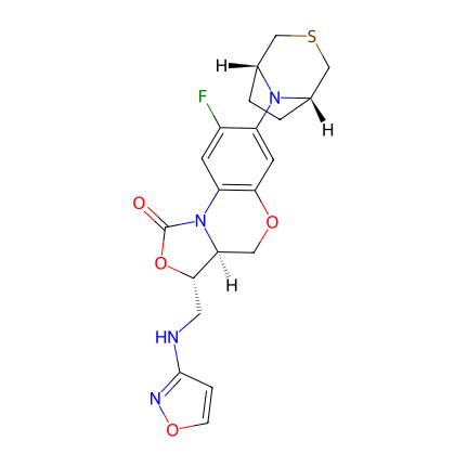 O=C1O[C@@H](CNc2ccon2)[C@@H]2COc3cc(N4[C@@H]5CC[C@H]4CSC5)c(F)cc3N12